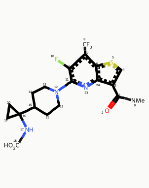 CNC(=O)c1csc2c(C(F)(F)F)c(F)c(N3CCC(C4(NC(=O)O)CC4)CC3)nc12